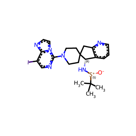 CC(C)(C)[S@@+]([O-])N[C@H]1c2cccnc2CC12CCN(c1ncc(I)c3nccn13)CC2